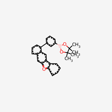 CC1(C)OB(c2cccc(-c3cccc4cc5oc6ccccc6c5cc34)c2)OC1(C)C